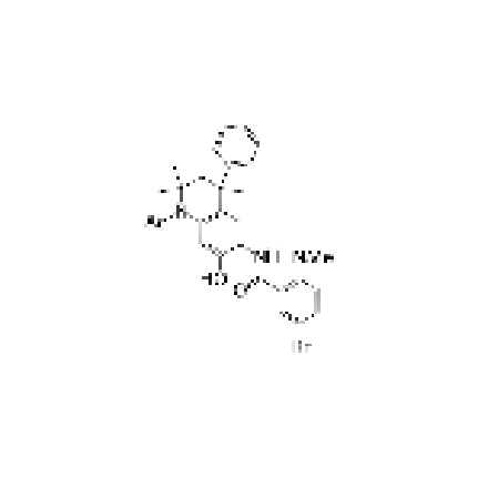 CNc1ccc(Br)cc1C(=O)Nc1cc2c(cc1O)N(C(C)=O)C(C)(C)CC2(C)c1ccccc1